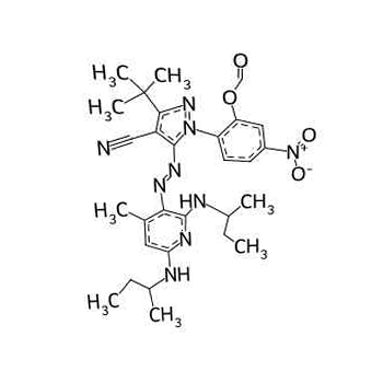 CCC(C)Nc1cc(C)c(N=Nc2c(C#N)c(C(C)(C)C)nn2-c2ccc([N+](=O)[O-])cc2OC=O)c(NC(C)CC)n1